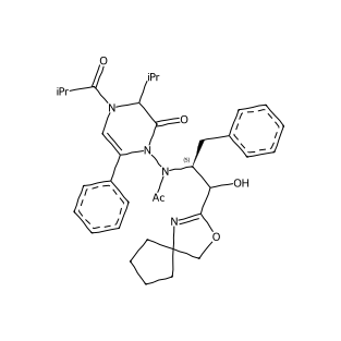 CC(=O)N([C@@H](Cc1ccccc1)C(O)C1=NC2(CCCC2)CO1)N1C(=O)C(C(C)C)N(C(=O)C(C)C)C=C1c1ccccc1